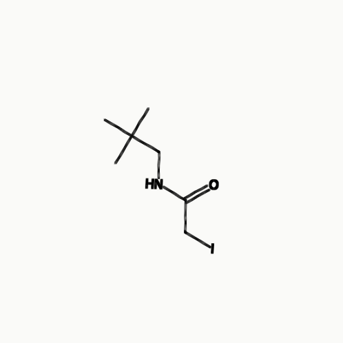 CC(C)(C)CNC(=O)CI